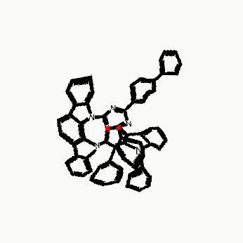 c1ccc(-c2ccc(-c3nc(-c4ccccc4)nc(-n4c5ccccc5c5ccc6c7ccccc7n(-c7ccc8c9ccccc9n(-c9ccccc9)c8c7-c7ccccc7)c6c54)n3)cc2)cc1